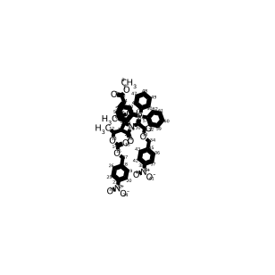 COC(=O)/C=C/C(C)(C)C1C(C(C)OC(=O)OCc2ccc([N+](=O)[O-])cc2)C(=O)N1C(C(=O)OCc1ccc([N+](=O)[O-])cc1)=P(c1ccccc1)(c1ccccc1)c1ccccc1